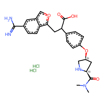 CN(C)C(=O)[C@@H]1C[C@H](Oc2ccc(C(Cc3occ4cc(C(=N)N)ccc34)C(=O)O)cc2)CN1.Cl.Cl